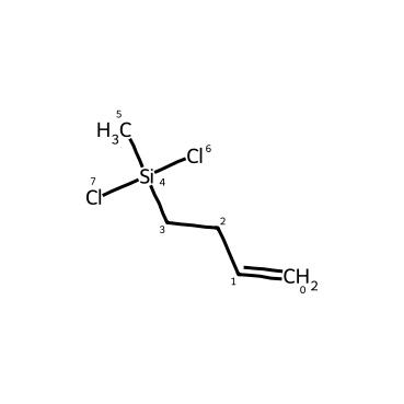 C=CCC[Si](C)(Cl)Cl